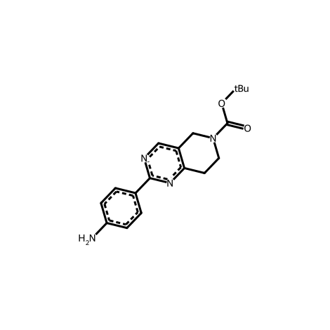 CC(C)(C)OC(=O)N1CCc2nc(-c3ccc(N)cc3)ncc2C1